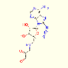 [N-]=[N+]=Nc1nc2c(N)ncnc2n1[C@@H]1O[C@H](CNCC(=O)C=O)C(O)C1O